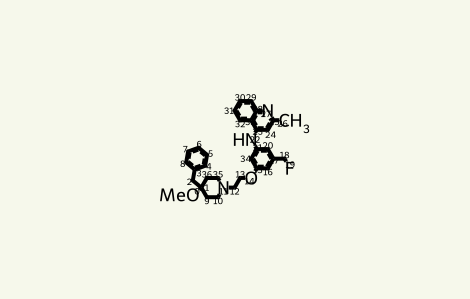 COC1(Cc2ccccc2)CCN(CCOc2cc(CF)cc(Nc3cc(C)nc4ccccc34)c2)CC1